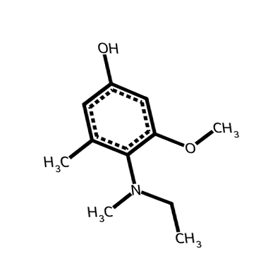 CCN(C)c1c(C)cc(O)cc1OC